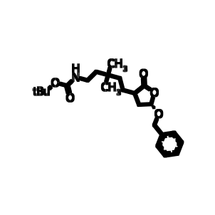 CC(C)(CCNC(=O)OC(C)(C)C)CCC1C[C@@H](OCc2ccccc2)OC1=O